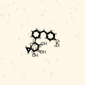 CCOc1ccc(Cc2cccc([C@@H]3OC4(CC4)[C@@H](O)[C@@H](O)[C@@H]3O)c2)cc1